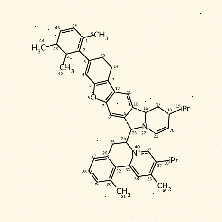 CC1=C(C2=Cc3oc4cc5c(cc4c3CC2)C2CC(C(C)C)C=CN2C5C2Cc3cccc(C)c3-c3cc(C)c(C(C)C)c[n+]32)C(C)C(C)C=C1